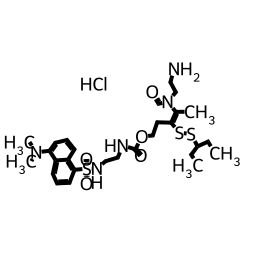 CCC(CC)SSC(CCOC(=O)NCCNS(=O)(=O)c1cccc2c(N(C)C)cccc12)=C(C)N(C=O)CCN.Cl